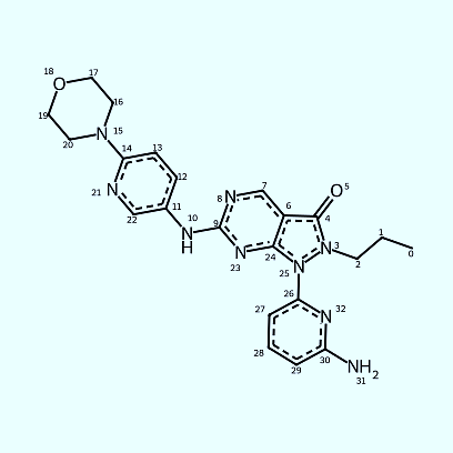 CCCn1c(=O)c2cnc(Nc3ccc(N4CCOCC4)nc3)nc2n1-c1cccc(N)n1